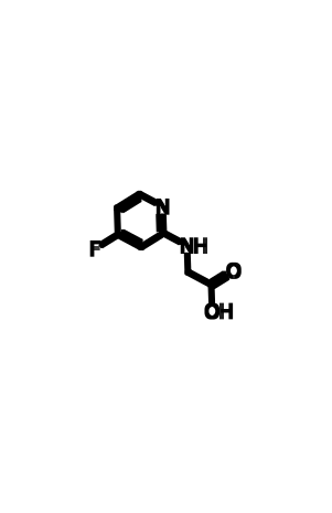 O=C(O)CNc1cc(F)ccn1